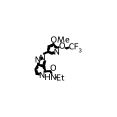 CCNC(=O)c1nccc2nn(Cc3cnc(OCC(F)(F)F)c(OC)c3)cc12